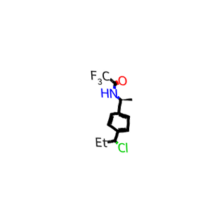 CCC(Cl)c1ccc([C@H](C)NC(=O)C(F)(F)F)cc1